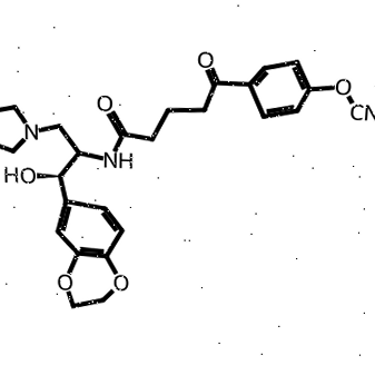 N#COc1ccc(C(=O)CCCC(=O)NC(CN2CCCC2)[C@H](O)c2ccc3c(c2)OCCO3)cc1